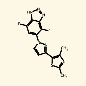 Cc1nc(C)c(-c2ccn(-c3cc(F)c4[nH]nnc4c3F)n2)s1